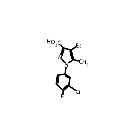 CCc1c(C(=O)O)nn(-c2ccc(F)c(Cl)c2)c1C